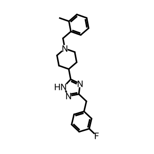 Cc1ccccc1CN1CCC(c2nc(Cc3cccc(F)c3)n[nH]2)CC1